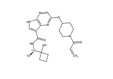 C=CC(=O)N1CCC(Oc2cnc3[nH]cc(C(=O)N[C@H](CC)C4(O)CCC4)c3n2)CC1